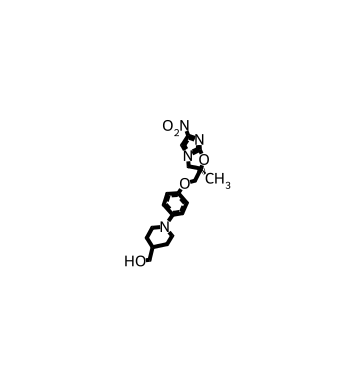 C[C@]1(COc2ccc(N3CCC(CO)CC3)cc2)Cn2cc([N+](=O)[O-])nc2O1